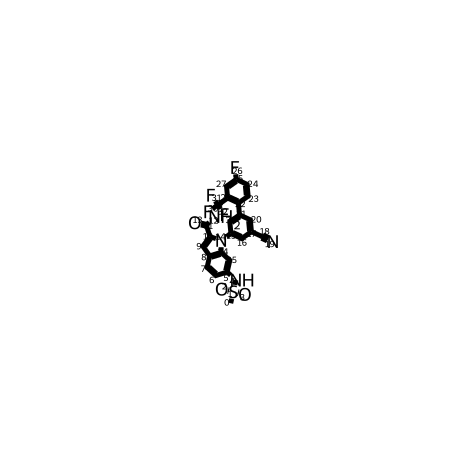 CS(=O)(=O)Nc1ccc2cc(C(N)=O)n(-c3cc(C#N)cc(-c4ccc(F)cc4C(F)(F)F)c3)c2c1